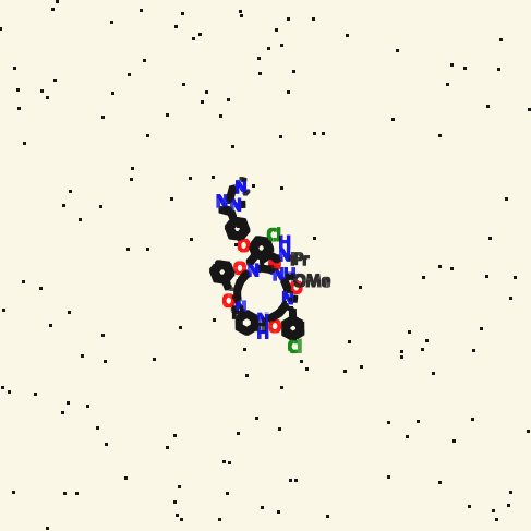 COC[C@@H]1NC(=O)[C@H](CCCNC(C)C)N(Cc2ccc(Cl)cc2Oc2ccc(-c3cnc(CN(C)C)n3C)cc2)C(=O)C[C@@H](Cc2ccccc2)C(=O)N(C)[C@H]2CCCC[C@@H]2NC(=O)C[C@H](Cc2ccc(Cl)cc2)N(C)C1=O